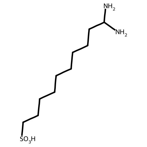 NC(N)CCCCCCCCCS(=O)(=O)O